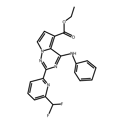 CCOC(=O)c1ccn2nc(-c3cccc(C(F)F)n3)nc(Nc3ccccc3)c12